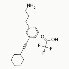 NCCCc1cccc(C#CC2CCCCC2)c1.O=C(O)C(F)(F)F